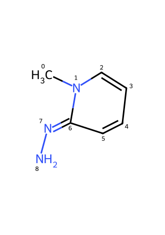 Cn1cccc/c1=N\N